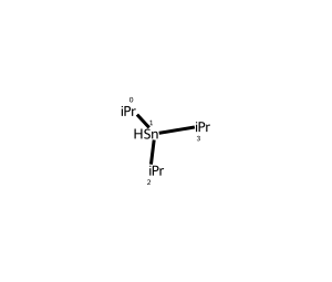 C[CH](C)[SnH]([CH](C)C)[CH](C)C